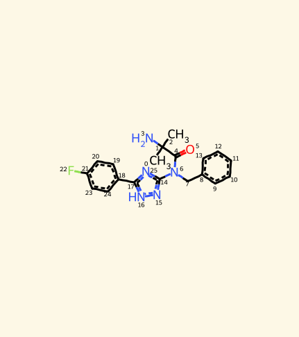 CC(C)(N)C(=O)N(Cc1ccccc1)c1n[nH]c(-c2ccc(F)cc2)n1